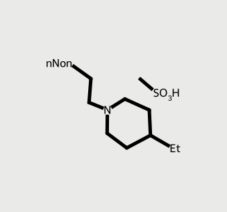 CCCCCCCCCCCN1CCC(CC)CC1.CS(=O)(=O)O